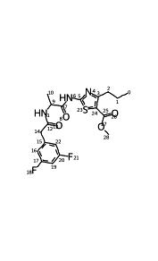 CCCc1nc(NC(=O)C(C)NC(=O)Cc2cc(F)cc(F)c2)sc1C(=O)OC